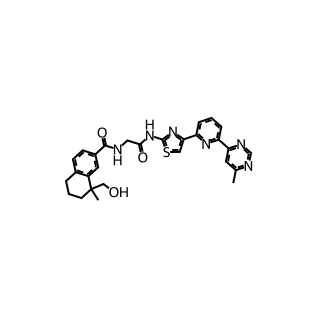 Cc1cc(-c2cccc(-c3csc(NC(=O)CNC(=O)c4ccc5c(c4)C(C)(CO)CCC5)n3)n2)ncn1